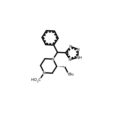 CC(C)(C)C[C@@H]1CN(C(=O)O)CCN1C(c1ccccc1)c1nn[nH]n1